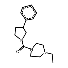 CCN1CCN(C(=O)N2CCC(c3ccccc3)C2)CC1